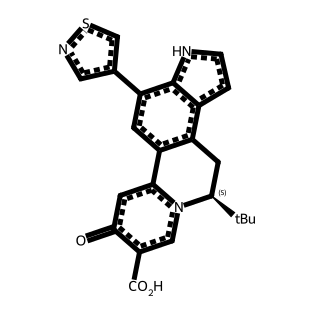 CC(C)(C)[C@@H]1Cc2c(cc(-c3cnsc3)c3[nH]ccc23)-c2cc(=O)c(C(=O)O)cn21